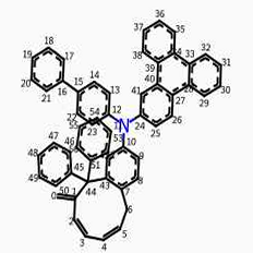 C=C1/C=C\C=C/Cc2ccc(N(c3ccc(-c4ccccc4)cc3)c3ccc4c5ccccc5c5ccccc5c4c3)cc2C1(c1ccccc1)c1ccccc1